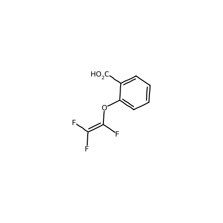 O=C(O)c1ccccc1OC(F)=C(F)F